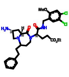 CCOC(=O)CC[C@H](C(=O)NCc1cc(Cl)c(Cl)cc1OC)N1CCC(CCc2ccccc2)N2C[C@H](N)C[C@H]2C1=O